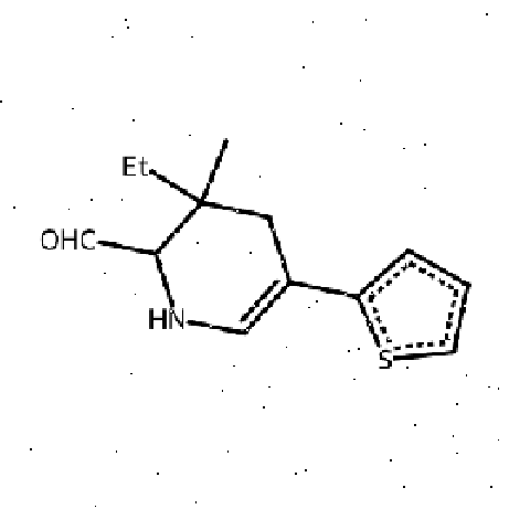 CCC1(C)CC(c2cccs2)=CNC1C=O